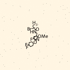 COc1nc(OC2CCC(F)(F)CC2)c(F)cc1CNC(=O)C(C)Br